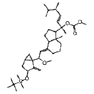 C=C1C(O[Si](C)(C)C(C)(C)C)CC2CC12C(C=C1CCCC2(C)C1CCC2[C@](C)(/C=C/C(C)C(C)C)OC(=O)OC)OC